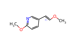 CO/C=C/c1ccc(OC)nc1